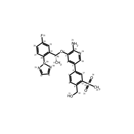 C[C@@H](Oc1cc(-c2ccc(CO)c(S(C)(=O)=O)c2)cnc1N)c1cc(F)ccc1-n1nccn1